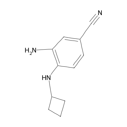 N#Cc1ccc(NC2CCC2)c(N)c1